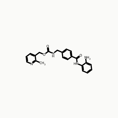 Cc1ncccc1COC(=O)NCc1ccc(C(=O)Nc2ccccc2N)cc1